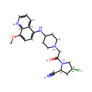 COc1ccc(NC2CCN(CC(=O)N3C[C@@H](F)CC3C#N)CC2)c2cccnc12